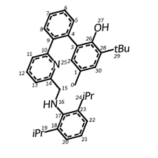 Cc1cc(-c2ccccc2-c2cccc(CNc3c(C(C)C)cccc3C(C)C)n2)c(O)c(C(C)(C)C)c1